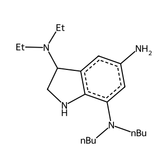 CCCCN(CCCC)c1cc(N)cc2c1NCC2N(CC)CC